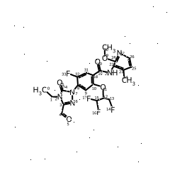 CCn1c(C=O)nn(-c2cc(O[C@@H](CF)C(F)F)c(C(=O)Nc3c(C)ccnc3OC)cc2F)c1=O